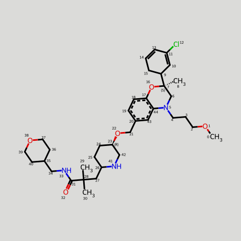 COCCCN1C[C@](C)(C2C=C(Cl)C=CC2)Oc2ccc(CO[C@@H]3CCC(CC(C)(C)C(=O)NCC4CCOCC4)NC3)cc21